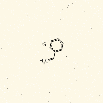 C=Cc1ccccc1.[S]